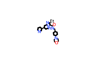 CCc1nc2cc(-c3cccnc3)ccn2c1C(=O)NCc1ccc(N2CCOCC2)cc1